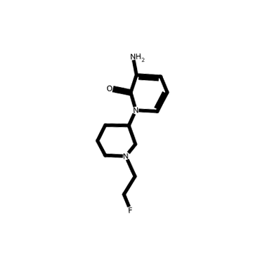 Nc1cccn(C2CCCN(CCF)C2)c1=O